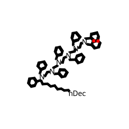 CCCCCCCCCCCCCCCCCCC(c1ccccc1)N(CCN(CCN(CCN(CCN(CCN(Cc1ccccc1)Cc1ccccc1)Cc1ccccc1)Cc1ccccc1)Cc1ccccc1)Cc1ccccc1)Cc1ccccc1